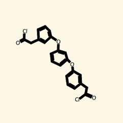 O=C(Cl)Cc1cccc(Oc2cccc(Oc3cccc(CC(=O)Cl)c3)c2)c1